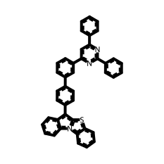 c1ccc(-c2cc(-c3cccc(-c4ccc(-c5c6ccccc6n6c5sc5ccccc56)cc4)c3)nc(-c3ccccc3)n2)cc1